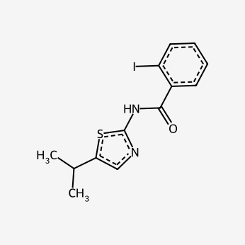 CC(C)c1cnc(NC(=O)c2ccccc2I)s1